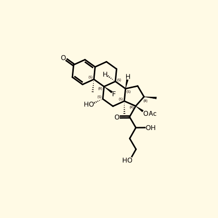 CC(=O)O[C@]1(C(=O)C(O)CCO)[C@H](C)C[C@H]2[C@@H]3CCC4=CC(=O)C=C[C@]4(C)[C@@]3(F)[C@@H](O)C[C@@]21C